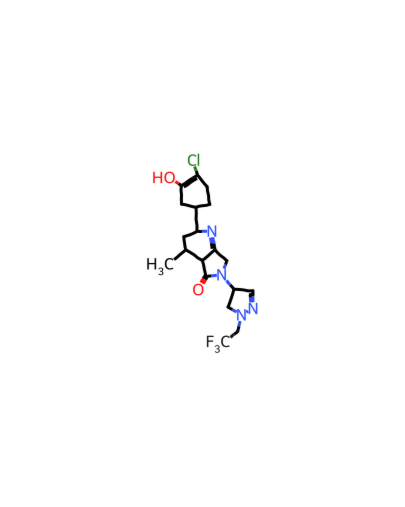 CC1CC(C2CCC(Cl)=C(O)C2)N=C2CN(C3C=NN(CC(F)(F)F)C3)C(=O)C21